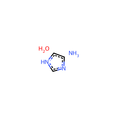 N.O.c1c[nH]cn1